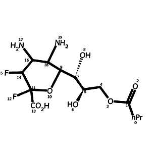 CCCC(=O)OC[C@@H](O)[C@@H](O)C1OC(F)(C(=O)O)C(F)C(N)C1N